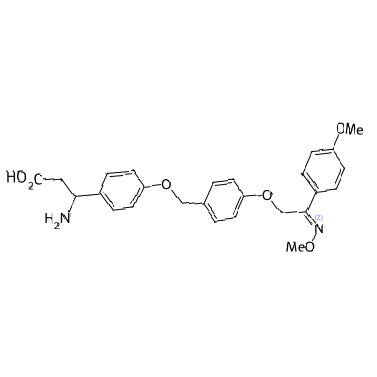 CO/N=C(\COc1ccc(COc2ccc(C(N)CC(=O)O)cc2)cc1)c1ccc(OC)cc1